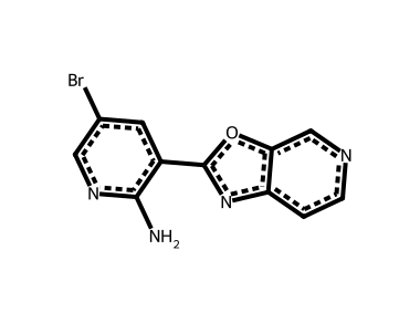 Nc1ncc(Br)cc1-c1nc2ccncc2o1